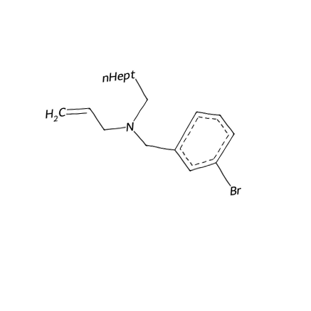 C=CCN(CCCCCCCC)Cc1cccc(Br)c1